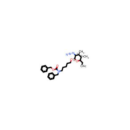 CC(=O)OCC1O[C@H](OCCCCCN(Cc2ccccc2)C(=O)OCc2ccccc2)C(N=[N+]=[N-])[C@@H](C)[C@@H]1C